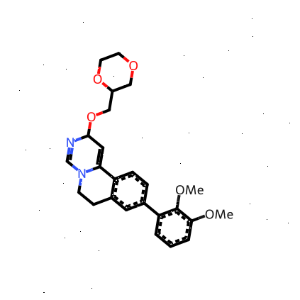 COc1cccc(-c2ccc3c(c2)CCN2C=NC(OCC4COCCO4)C=C32)c1OC